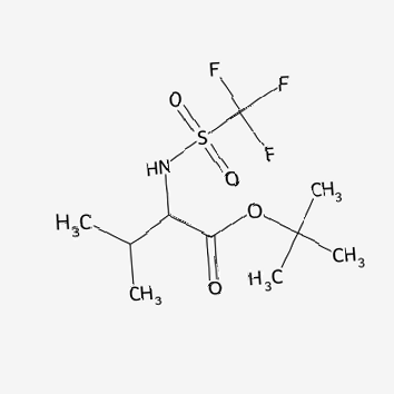 CC(C)C(NS(=O)(=O)C(F)(F)F)C(=O)OC(C)(C)C